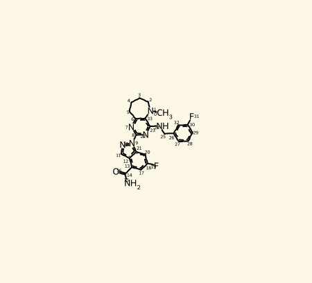 CN1CCCCc2nc(-n3ncc4c(C(N)=O)cc(F)cc43)nc(NCc3cccc(F)c3)c21